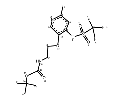 [CH2]c1cc(OS(=O)(=O)C(F)(F)F)c(OCCNC(=O)OC(C)(C)C)cn1